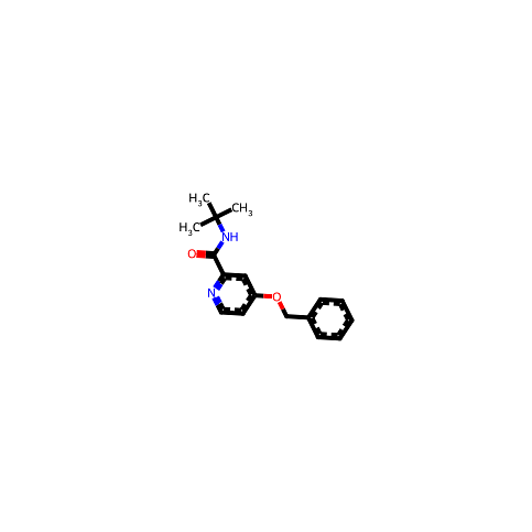 CC(C)(C)NC(=O)c1cc(OCc2ccccc2)ccn1